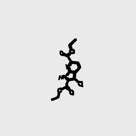 CCOC(=O)c1ccc2c(Cl)c(C(=O)OCC)[nH]c2n1